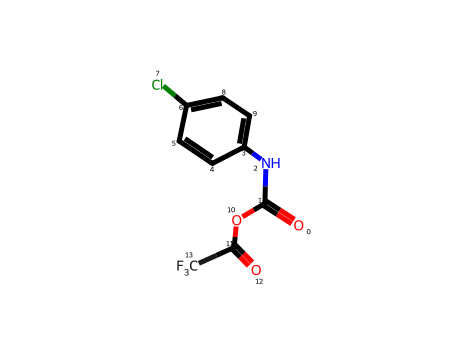 O=C(Nc1ccc(Cl)cc1)OC(=O)C(F)(F)F